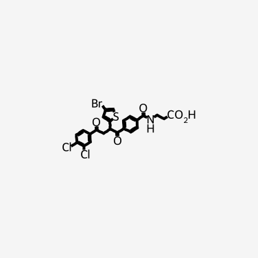 O=C(O)CCNC(=O)c1ccc(C(=O)C(CC(=O)c2ccc(Cl)c(Cl)c2)c2cc(Br)cs2)cc1